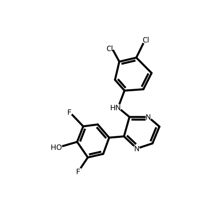 Oc1c(F)cc(-c2nccnc2Nc2ccc(Cl)c(Cl)c2)cc1F